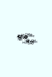 COc1cc(OC2O[C@H](COP(=O)(O)O)[C@@H](O)[C@H]2O)c(CNc2ncnc3nc[nH]c23)c(OC)c1OC